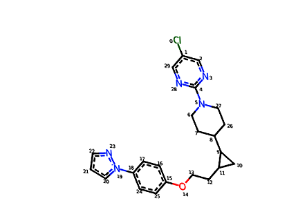 Clc1cnc(N2CCC(C3CC3CCOc3ccc(-n4cccn4)cc3)CC2)nc1